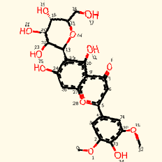 COc1cc(-c2cc(=O)c3c(O)c([C@@H]4OC(CO)[C@@H](O)[C@H](O)C4O)c(O)cc3o2)cc(OC)c1O